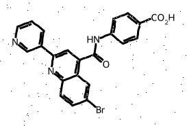 O=C(O)c1ccc(NC(=O)c2cc(-c3cccnc3)nc3ccc(Br)cc23)cc1